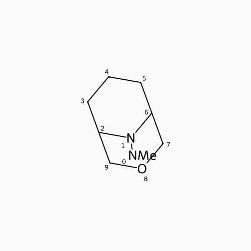 CNN1C2CCCC1COC2